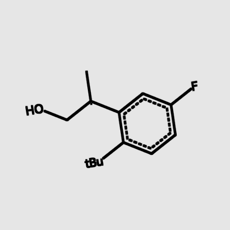 C[C](CO)c1cc(F)ccc1C(C)(C)C